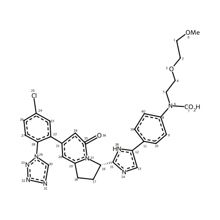 COCCOCCN(C(=O)O)c1ccc(-c2cnc([C@@H]3CCc4cc(-c5cc(Cl)ccc5-n5cnnn5)cc(=O)n43)[nH]2)cc1